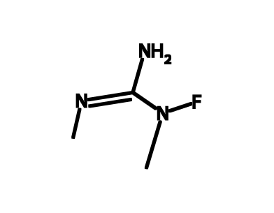 C/N=C(/N)N(C)F